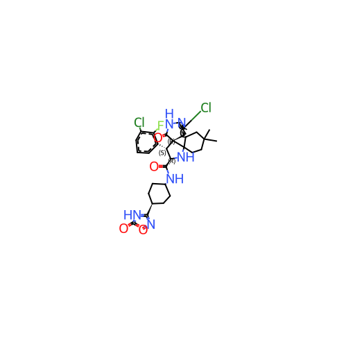 CC1(C)CCC2(CC1)N[C@@H](C(=O)N[C@H]1CC[C@H](c3noc(=O)[nH]3)CC1)[C@H](c1cccc(Cl)c1F)[C@]21C(=O)Nc2nc(Cl)ccc21